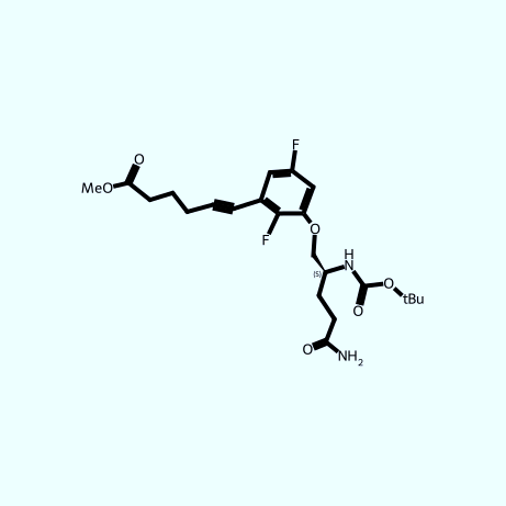 COC(=O)CCCC#Cc1cc(F)cc(OC[C@H](CCC(N)=O)NC(=O)OC(C)(C)C)c1F